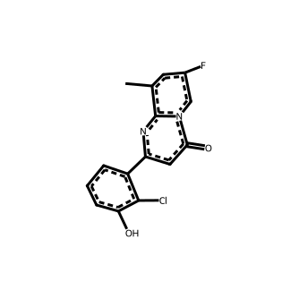 Cc1cc(F)cn2c(=O)cc(-c3cccc(O)c3Cl)nc12